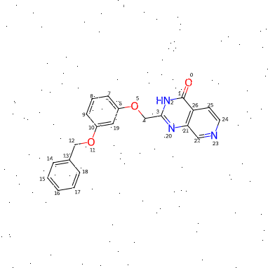 O=c1[nH]c(COc2cccc(OCc3ccccc3)c2)nc2cnccc12